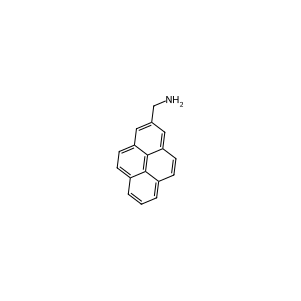 NCc1cc2ccc3cccc4ccc(c1)c2c34